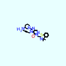 CC#CCn1c(N2CCCC(N)C2)nc2cnn(CC3=NC(C)(C)c4ccccc4S3)c(=O)c21